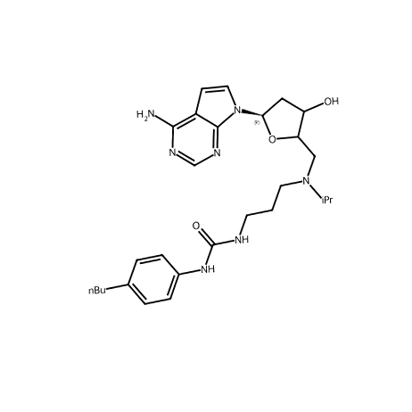 CCCCc1ccc(NC(=O)NCCCN(CC2O[C@@H](n3ccc4c(N)ncnc43)CC2O)C(C)C)cc1